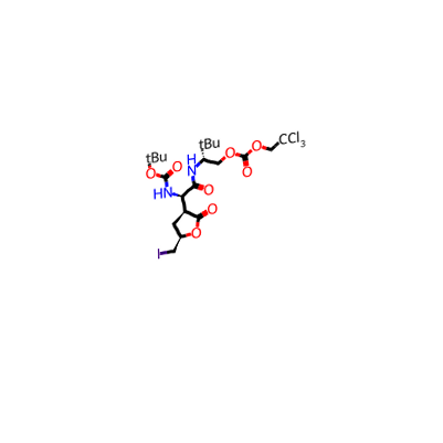 CC(C)(C)OC(=O)N[C@@H](C(=O)N[C@@H](COC(=O)OCC(Cl)(Cl)Cl)C(C)(C)C)[C@@H]1C[C@H](CI)OC1=O